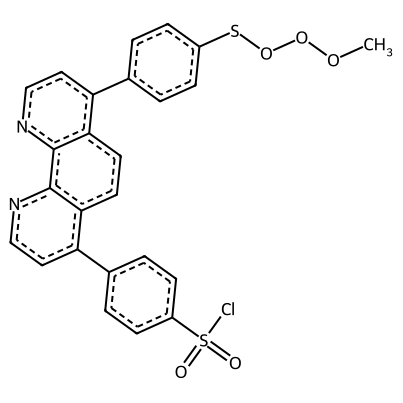 COOOSc1ccc(-c2ccnc3c2ccc2c(-c4ccc(S(=O)(=O)Cl)cc4)ccnc23)cc1